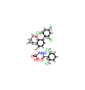 O=C(N[C@@H](Cc1ccc(-c2c(Cl)cc(F)cc2Cl)c2c1C1CC1CO2)C(=O)O)c1c(Cl)cccc1Cl